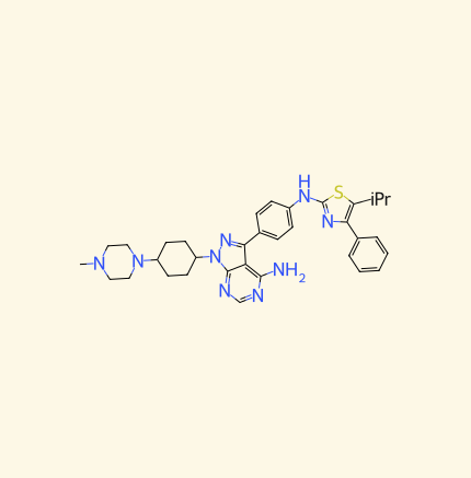 CC(C)c1sc(Nc2ccc(-c3nn(C4CCC(N5CCN(C)CC5)CC4)c4ncnc(N)c34)cc2)nc1-c1ccccc1